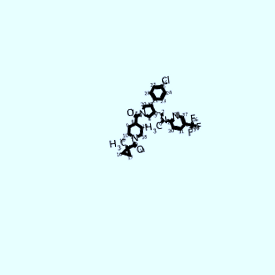 CN(C[C@@H]1CN(C(=O)C2CCN(C(=O)C3(C)CC3)CC2)C[C@@H]1c1ccc(Cl)cc1)c1ccc(C(F)(F)F)cn1